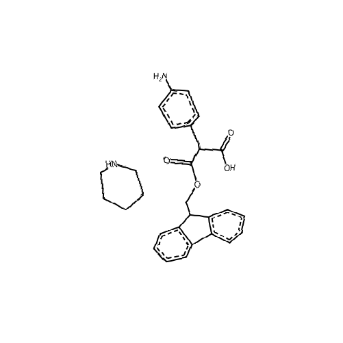 C1CCNCC1.Nc1ccc(C(C(=O)O)C(=O)OCC2c3ccccc3-c3ccccc32)cc1